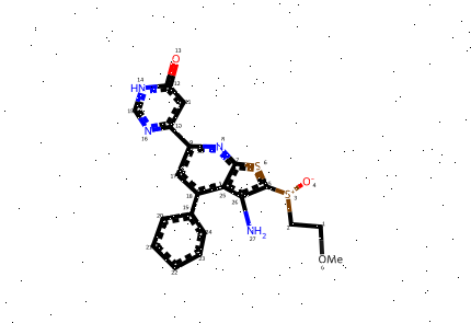 COCC[S+]([O-])c1sc2nc(-c3cc(=O)[nH]cn3)cc(-c3ccccc3)c2c1N